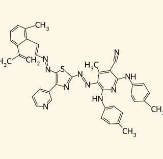 C=C(C)c1cccc(C)c1/C=C/N=Nc1sc(N=Nc2c(Nc3ccc(C)cc3)nc(Nc3ccc(C)cc3)c(C#N)c2C)nc1-c1cccnc1